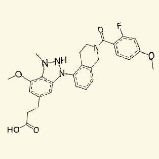 COc1ccc(C(=O)N2CCc3c(cccc3N3NN(C)c4c(OC)cc(CCC(=O)O)cc43)C2)c(F)c1